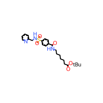 CC(C)(C)OC(=O)CCCCCCNC(=O)c1ccc(S(=O)(=O)NCc2ccccn2)cc1